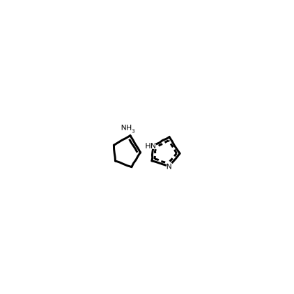 C1=CCCC1.N.c1c[nH]cn1